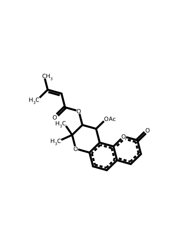 CC(=O)OC1c2c(ccc3ccc(=O)oc23)OC(C)(C)C1OC(=O)C=C(C)C